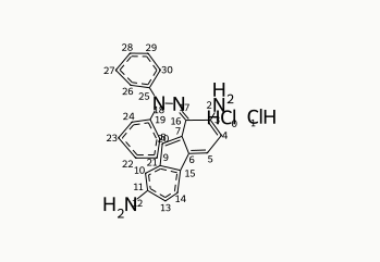 Cl.Cl.NC1=CC=C2C(=Cc3cc(N)ccc32)C1=NN(c1ccccc1)c1ccccc1